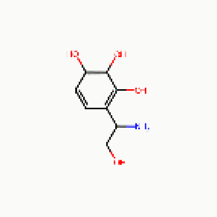 NC(CO)c1ccc(O)c(O)c1O